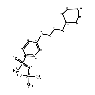 C[Si](C)(C)N=S(C)(=O)c1ccc(OCCCN2CCOCC2)cn1